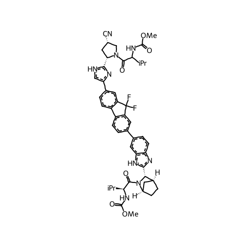 COC(=O)NC(C(=O)N1C[C@@H](C#N)C[C@H]1c1nc(-c2ccc3c(c2)C(F)(F)c2cc(-c4ccc5nc([C@@H]6[C@H]7CC[C@H](C7)N6C(=O)[C@@H](NC(=O)OC)C(C)C)[nH]c5c4)ccc2-3)c[nH]1)C(C)C